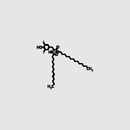 CCCC/C=C/CCCCCCCC(=O)NC(Cc1cc(I)c(O)c(I)c1)C(=O)NCCCCCCCCCCCCCC